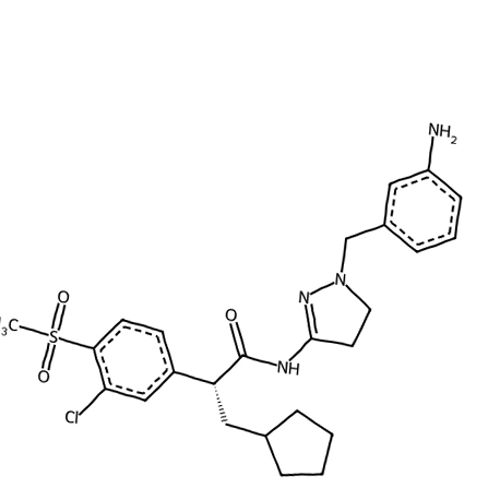 CS(=O)(=O)c1ccc([C@@H](CC2CCCC2)C(=O)NC2=NN(Cc3cccc(N)c3)CC2)cc1Cl